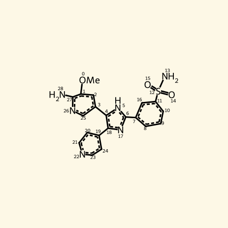 COc1cc(-c2[nH]c(-c3cccc(S(N)(=O)=O)c3)nc2-c2ccncc2)cnc1N